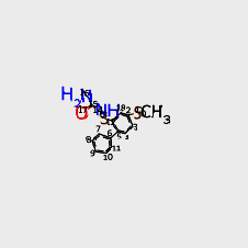 CSc1ccc(-c2ccccc2)c(SNC(N)=O)c1